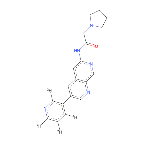 [2H]c1nc([2H])c(-c2cnc3cnc(NC(=O)CN4CCCC4)cc3c2)c([2H])c1[2H]